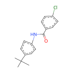 CC(C)(C)c1ccc(NC(=O)c2ccc(Cl)cc2)cc1